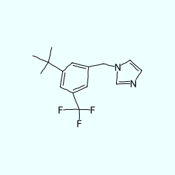 CC(C)(C)c1cc(Cn2ccnc2)cc(C(F)(F)F)c1